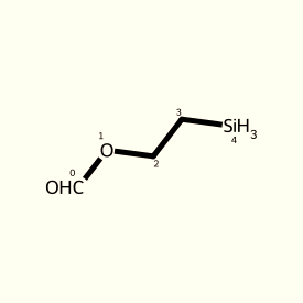 O=COCC[SiH3]